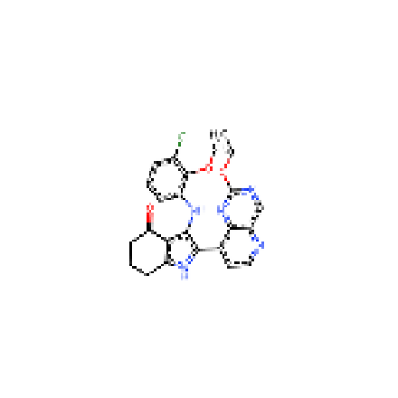 CCOc1ncc2nccc(-c3[nH]c4c(c3Nc3cccc(Cl)c3OC)C(=O)CCC4)c2n1